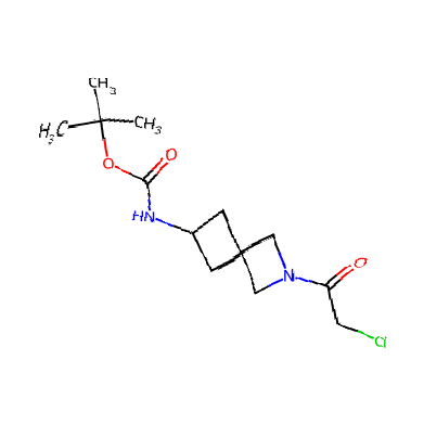 CC(C)(C)OC(=O)NC1CC2(C1)CN(C(=O)CCl)C2